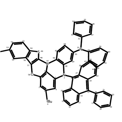 CC(C)(C)c1cc2c3c(c1)N(c1c4ccccc4c(-c4ccccc4)c4ccccc14)c1cc(N(c4ccccc4)c4ccccc4)ccc1B3c1sc3ccc(C(C)(C)C)cc3c1O2